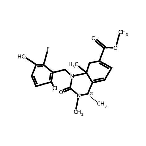 COC(=O)C1=CC=C2[C@H](C)N(C)C(=O)N(Cc3c(Cl)ccc(O)c3F)C2(C)C1